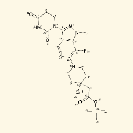 Cn1nc(N2CCC(=O)NC2=O)c2ccc(N3CCC(O)(CC(=O)OC(C)(C)C)CC3)c(F)c21